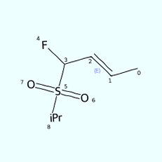 C/C=C/C(F)S(=O)(=O)C(C)C